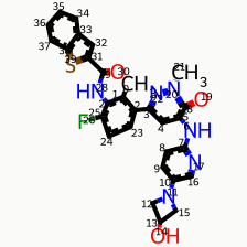 Cc1c(-c2cc(Nc3ccc(N4CC(O)C4)cn3)c(=O)n(C)n2)ccc(F)c1NC(=O)c1cc2ccccc2s1